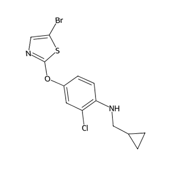 Clc1cc(Oc2ncc(Br)s2)ccc1NCC1CC1